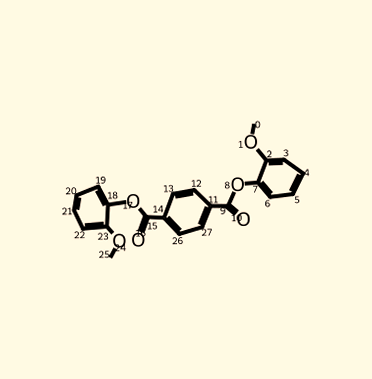 COc1ccccc1OC(=O)c1ccc(C(=O)Oc2ccccc2OC)cc1